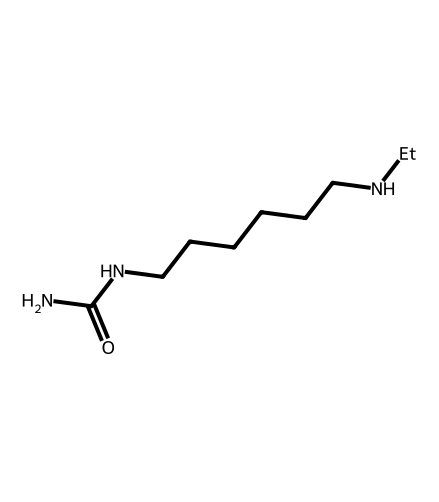 CCNCCCCCCNC(N)=O